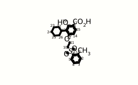 Cc1ccccc1S(=O)(=O)CCOc1ccc(C(=O)O)c(O)c1C1CCCCC1